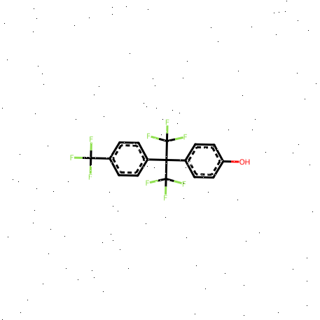 Oc1ccc(C(c2ccc(C(F)(F)F)cc2)(C(F)(F)F)C(F)(F)F)cc1